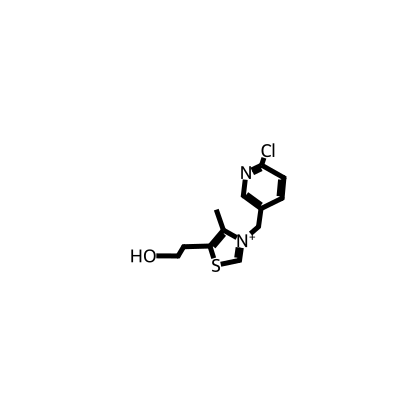 Cc1c(CCO)sc[n+]1Cc1ccc(Cl)nc1